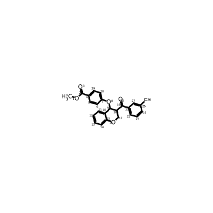 COC(=O)c1ccc(OC2c3ccccc3OCC2C(=O)c2cccc(F)c2)cc1